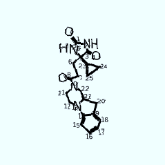 O=C1NC(=O)[C@](CCC(=O)N2CCN3c4ccccc4CC3C2)(C2CC2)N1